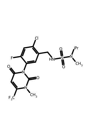 CC(C)N(C)S(=O)(=O)NCc1cc(-n2c(=O)cc(C(F)(F)F)n(C)c2=O)c(F)cc1Cl